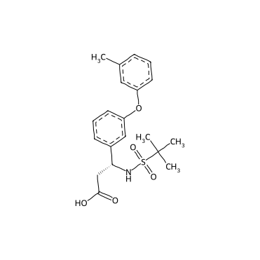 Cc1cccc(Oc2cccc([C@@H](CC(=O)O)NS(=O)(=O)C(C)(C)C)c2)c1